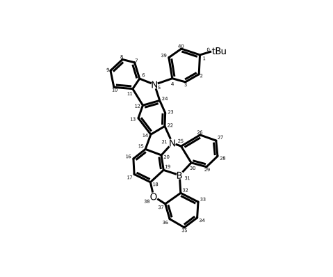 CC(C)(C)c1ccc(-n2c3ccccc3c3cc4c5ccc6c7c5n(c4cc32)-c2ccccc2B7c2ccccc2O6)cc1